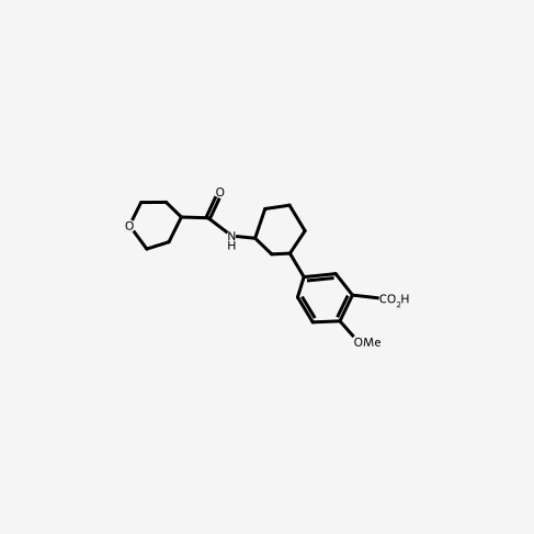 COc1ccc(C2CCCC(NC(=O)C3CCOCC3)C2)cc1C(=O)O